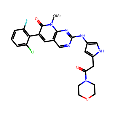 COn1c(=O)c(-c2c(F)cccc2Cl)cc2cnc(Nc3c[nH]c(CC(=O)N4CCOCC4)c3)nc21